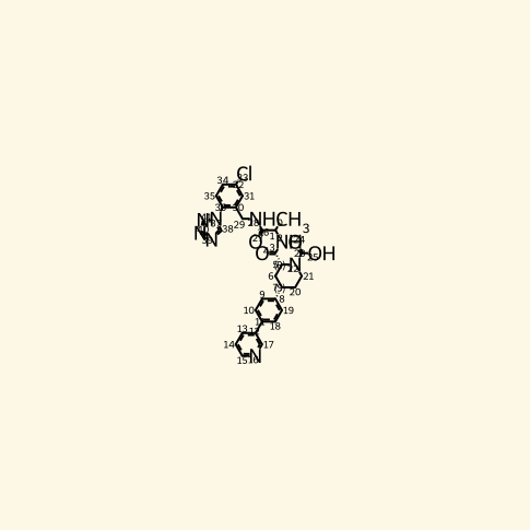 CC(NC(=O)[C@H]1C[C@@H](c2ccc(-c3cccnc3)cc2)CCN1C(=O)O)C(=O)NCc1cc(Cl)ccc1-n1cnnn1